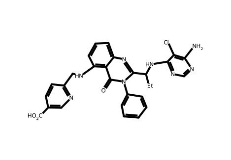 CCC(Nc1ncnc(N)c1Cl)c1nc2cccc(NCc3ccc(C(=O)O)cn3)c2c(=O)n1-c1ccccc1